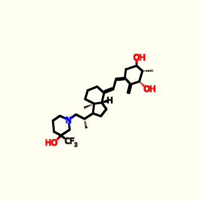 C=C1/C(=C\C=C2/CCC[C@]3(C)C([C@H](C)CN4CCCC(O)(C(F)(F)F)C4)CC[C@@H]23)C[C@@H](O)[C@H](C)[C@@H]1O